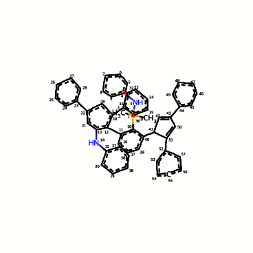 CS(C)(Nc1ccccc1)c1c(-c2c(Nc3ccccc3)cc(-c3ccccc3)cc2-c2ccccc2)cccc1C1C=C(c2ccccc2)C=C1c1ccccc1